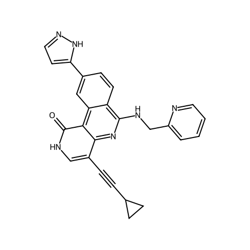 O=c1[nH]cc(C#CC2CC2)c2nc(NCc3ccccn3)c3ccc(-c4ccn[nH]4)cc3c12